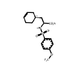 O=C(O)C(C[C@@H]1CC=CCC1)NS(=O)(=O)c1ccc(OC(F)(F)F)cc1